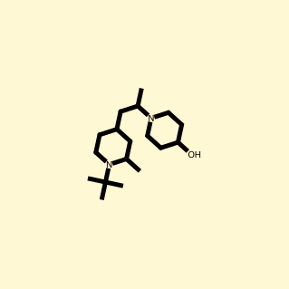 CC(CC1CCN(C(C)(C)C)C(C)C1)N1CCC(O)CC1